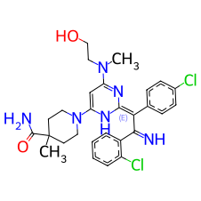 CN(CCO)C1=N/C(=C(/C(=N)c2ccccc2Cl)c2ccc(Cl)cc2)NC(N2CCC(C)(C(N)=O)CC2)=C1